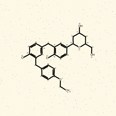 CCOc1ccc(Cc2cc(Cc3cc(C4CC(O)CC(CO)O4)ccc3Cl)ccc2Cl)cc1